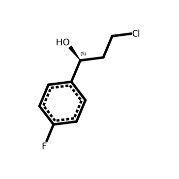 O[C@@H](CCCl)c1ccc(F)cc1